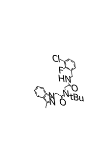 Cc1nn(CC(=O)N(CC(=O)NCc2cccc(Cl)c2F)C(C)(C)C)c2ccccc12